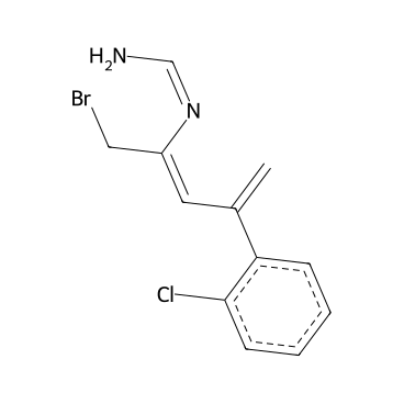 C=C(/C=C(CBr)\N=C/N)c1ccccc1Cl